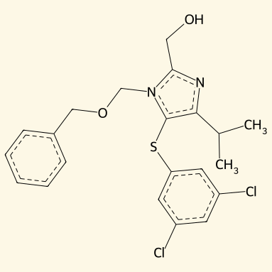 CC(C)c1nc(CO)n(COCc2ccccc2)c1Sc1cc(Cl)cc(Cl)c1